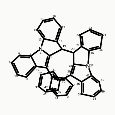 c1ccc(-c2c3n(c4ccccc24)-c2ccccc2C3C2c3ccccc3-n3c2c(-c2ccccc2)c2ccccc23)cc1